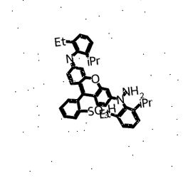 CCc1cccc(C(C)C)c1/N=c1/ccc2c(-c3ccccc3S(=O)(=O)O)c3ccc(N(N)c4c(CC)cccc4C(C)C)cc3oc-2c1